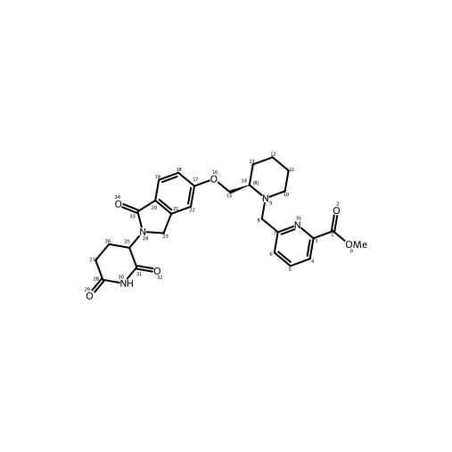 COC(=O)c1cccc(CN2CCCC[C@@H]2COc2ccc3c(c2)CN(C2CCC(=O)NC2=O)C3=O)n1